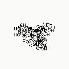 CC(=O)N[C@H]1[C@H](O[C@H]2[C@H](O)[C@@H](NC(C)=O)C(O)O[C@@H]2CO)O[C@H](CO)[C@@H](O[C@@H]2O[C@H](CO[C@H]3O[C@H](CO)[C@@H](O)[C@H](O)[C@@H]3O[C@@H]3O[C@H](CO)[C@@H](O[C@@H]4O[C@H](CO)[C@H](O)[C@H](O)[C@H]4O)[C@H](O)[C@H]3NC(C)=O)[C@@H](O)[C@H](O[C@H]3O[C@H](CO)[C@@H](O)[C@H](O)[C@@H]3O[C@@H]3O[C@H](CO)[C@@H](O[C@@H]4O[C@H](CO)[C@H](O)[C@H](O)[C@H]4O)[C@H](O)[C@H]3NC(C)=O)[C@@H]2O)[C@@H]1O